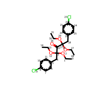 CCOC(Cc1ccc(Cl)cc1)(OCC)C(=O)C(Cc1ccc(Cl)cc1)(OCC)OCC